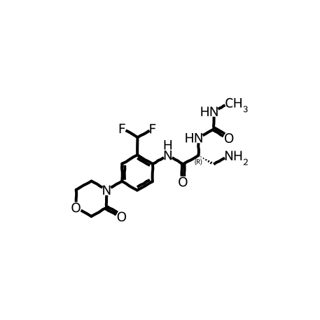 CNC(=O)N[C@H](CN)C(=O)Nc1ccc(N2CCOCC2=O)cc1C(F)F